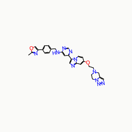 Cc1nc(-c2ccc(CNc3cc(-c4cnc5cc(OCCN6CCn7nncc7C6)ccn45)ncn3)cc2)co1